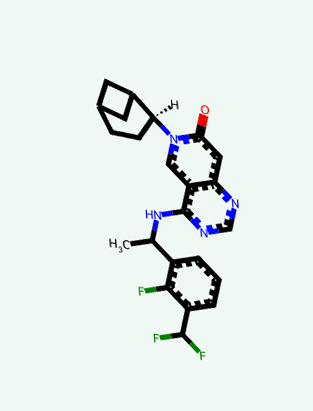 CC(Nc1ncnc2cc(=O)n([C@H]3CCC4CC3C4)cc12)c1cccc(C(F)F)c1F